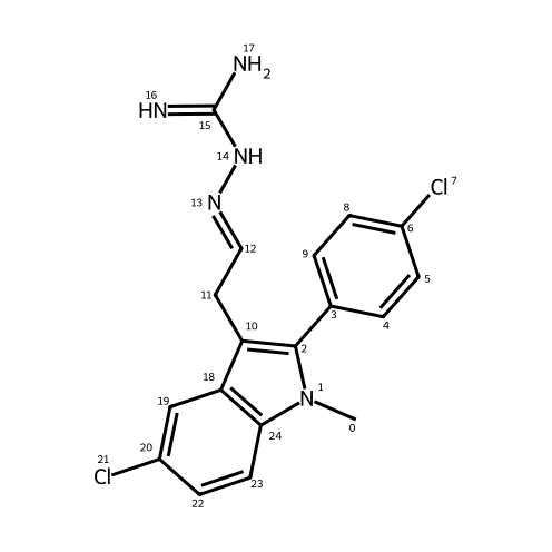 Cn1c(-c2ccc(Cl)cc2)c(CC=NNC(=N)N)c2cc(Cl)ccc21